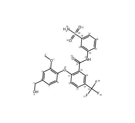 COc1cc(CO)ccc1Oc1ccc(C(F)(F)F)cc1C(=O)Nc1cccc(S(N)(=O)=O)c1